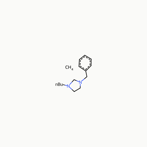 C.CCCCN1CCN(Cc2ccccc2)C1